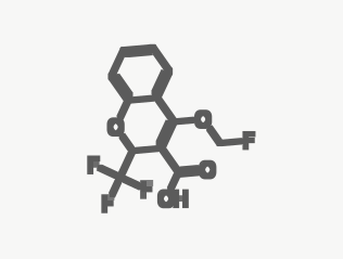 O=C(O)C1=C(OCF)c2ccccc2OC1C(F)(F)F